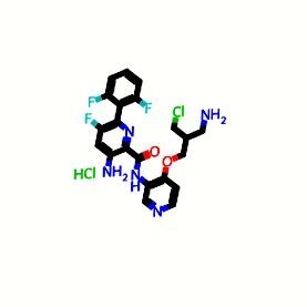 Cl.NCC(CCl)COc1ccncc1NC(=O)c1nc(-c2c(F)cccc2F)c(F)cc1N